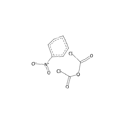 O=C(Cl)OC(=O)Cl.O=[N+]([O-])c1ccccc1